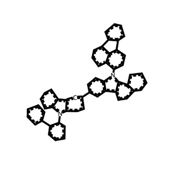 c1ccc(-c2ccccc2-n2c3ccccc3c3cc(-c4ccc5c(c4)c4ccc6ccccc6c4n5-c4ccc5c6c(cccc46)-c4ccccc4-5)ccc32)cc1